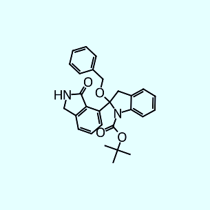 CC(C)(C)OC(=O)N1c2ccccc2CC1(OCc1ccccc1)c1cccc2c1C(=O)NC2